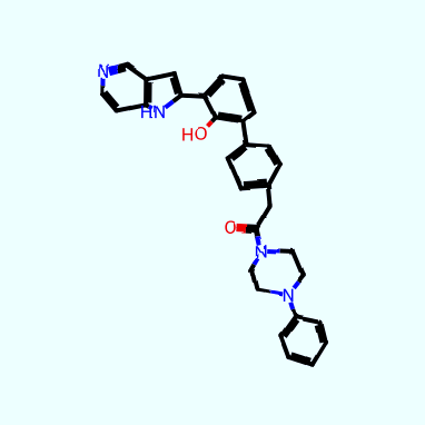 O=C(Cc1ccc(-c2cccc(-c3cc4cnccc4[nH]3)c2O)cc1)N1CCN(c2ccccc2)CC1